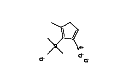 CC1=C([Si](C)(C)C)[C]([V+3])=CC1.[Cl-].[Cl-].[Cl-]